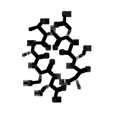 C[C@H](N)C(=O)N[C@@H](CS)C(=O)N[C@@H](CC(=O)O)C(=O)N[C@H](C(=O)N[C@@H](C)C(=O)N[C@@H](CO)C(=O)N[C@@H](CS)C(=O)O)[C@@H](C)O